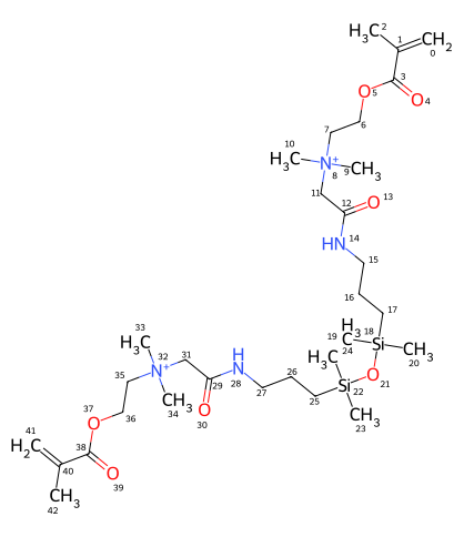 C=C(C)C(=O)OCC[N+](C)(C)CC(=O)NCCC[Si](C)(C)O[Si](C)(C)CCCNC(=O)C[N+](C)(C)CCOC(=O)C(=C)C